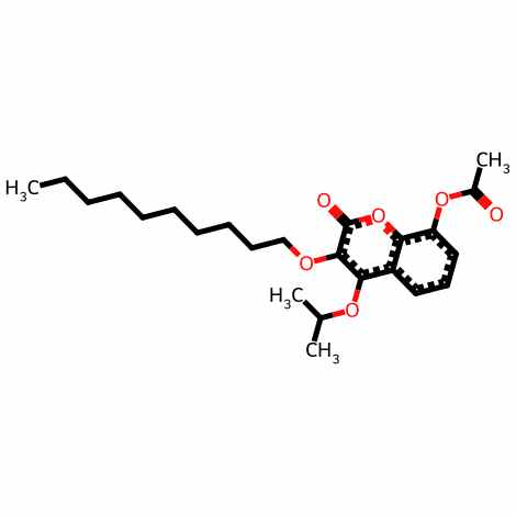 CCCCCCCCCCOc1c(OC(C)C)c2cccc(OC(C)=O)c2oc1=O